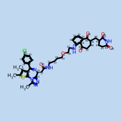 Cc1sc2c(c1C)C(c1ccc(Cl)cc1)=N[C@@H](CC(=O)NCCCCOCCNc1cccc3c1C(=O)CCC(CC1CCC(=O)NC1=O)C3=O)c1nnc(C)n1-2